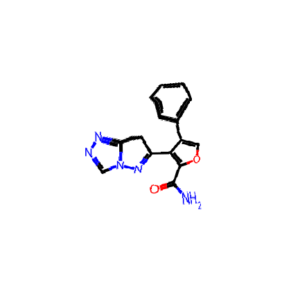 NC(=O)c1occ(-c2ccccc2)c1C1=Nn2cnnc2C1